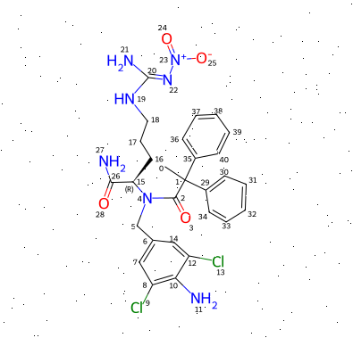 CC(C(=O)N(Cc1cc(Cl)c(N)c(Cl)c1)[C@H](CCCNC(N)=N[N+](=O)[O-])C(N)=O)(c1ccccc1)c1ccccc1